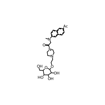 CC(=O)c1ccc2cc(N(C)CC(=O)N3CCN(CCOC4OC(CO)C(O)C(O)C4O)CC3)ccc2c1